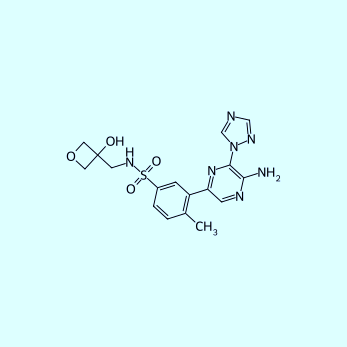 Cc1ccc(S(=O)(=O)NCC2(O)COC2)cc1-c1cnc(N)c(-n2cncn2)n1